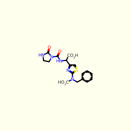 O=C(O)C(NC(=O)N1CCNC1=O)c1csc(N(Cc2ccccc2)C(=O)O)n1